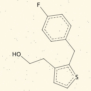 OCCc1ccsc1Cc1ccc(F)cc1